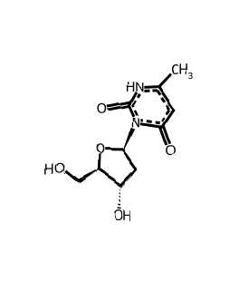 Cc1cc(=O)n([C@H]2C[C@H](O)[C@@H](CO)O2)c(=O)[nH]1